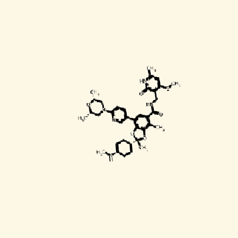 CN[C@H]1CC[C@H](C2(C)Oc3c(-c4ccc(N5C[C@@H](C)O[C@@H](C)C5)nc4)cc(C(=O)NCc4c(SC)cc(C)[nH]c4=O)c(C)c3O2)CC1